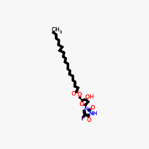 CCCCCCCCCCCCCCCCCCCCCC(=O)OC[C@@H]1O[C@H](n2cc(I)c(=O)[nH]c2=O)CC1O